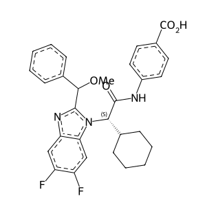 COC(c1ccccc1)c1nc2cc(F)c(F)cc2n1[C@H](C(=O)Nc1ccc(C(=O)O)cc1)C1CCCCC1